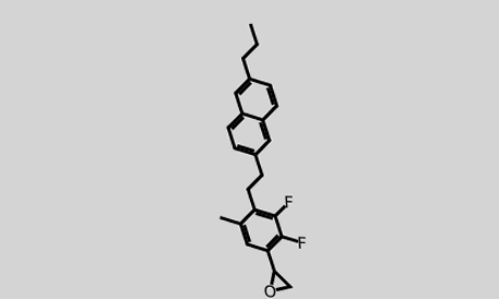 CCCc1ccc2cc(CCc3c(C)cc(C4CO4)c(F)c3F)ccc2c1